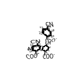 N#Cc1ccc(C(=O)[O-])cc1.N#Cc1ccc(C(=O)[O-])cc1.N#Cc1ccc(C(=O)[O-])cc1.[Al+3]